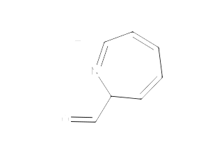 O=CC1C=CC=CC=N1.[H+]